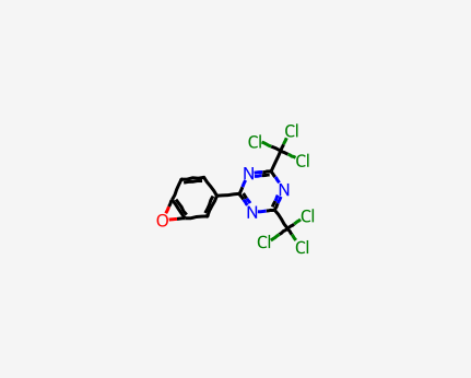 ClC(Cl)(Cl)c1nc(-c2ccc3c(c2)O3)nc(C(Cl)(Cl)Cl)n1